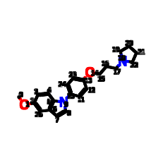 COc1ccc2c(ccn2-c2ccc(OCCCN3CCCC3)cc2)c1